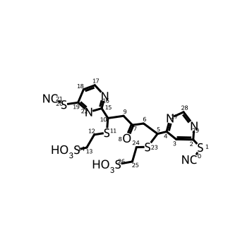 N#CSc1cc(C(CC(=O)CC(SCCS(=O)(=O)O)c2nccc(SC#N)n2)SCCS(=O)(=O)O)ncn1